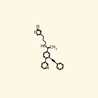 C=C(NCCCc1cn[nH]c1)c1ccc(-c2cccnc2)c(C#Cc2ccccc2)c1